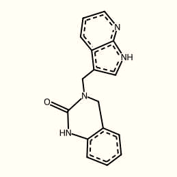 O=C1Nc2ccccc2CN1Cc1c[nH]c2ncccc12